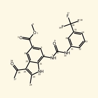 COC(=O)c1cc(NC(=O)Nc2cccc(C(F)(F)F)c2)c2[nH]c(C)c(C(C)=O)c2c1